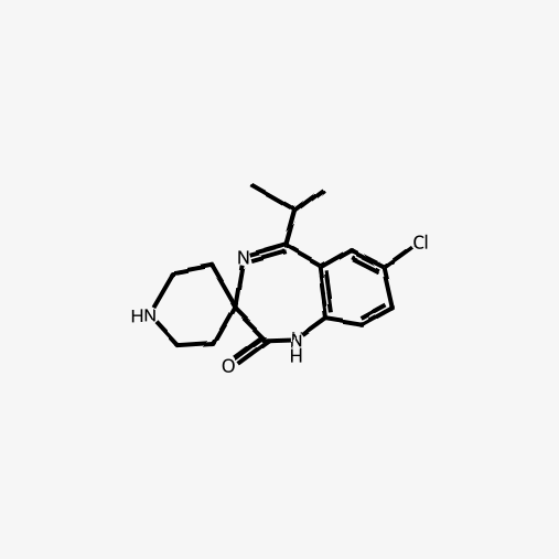 CC(C)C1=NC2(CCNCC2)C(=O)Nc2ccc(Cl)cc21